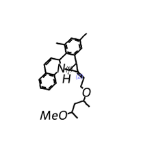 COC(C)CC(C)OC/C=C1/C2c3cc(C)cc(C)c3C3C=Cc4ccccc4N3[C@H]12